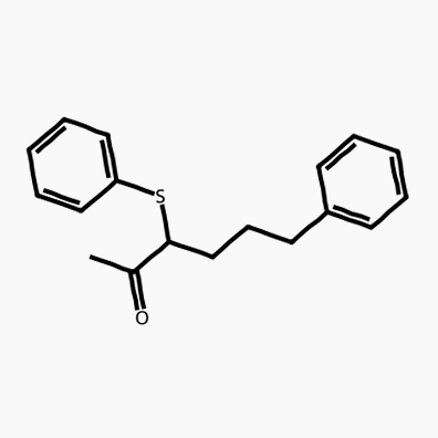 CC(=O)C(CCCc1ccccc1)Sc1ccccc1